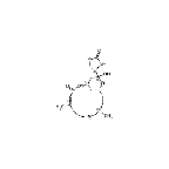 C/C1=C/C(=O)O[C@@H]2CC(CC[C@H](C)/C=C\CC1)O[C@@](O)([C@@H]1CSC(=O)N1)C2